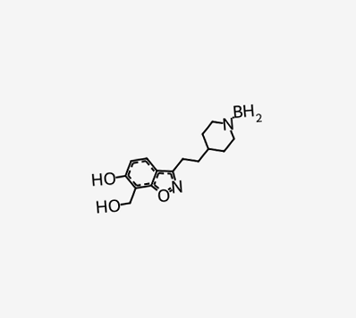 BN1CCC(CCc2noc3c(CO)c(O)ccc23)CC1